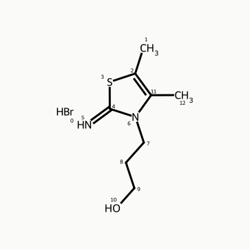 Br.Cc1sc(=N)n(CCCO)c1C